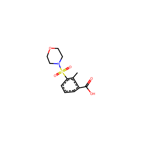 Cc1c(C(=O)O)cccc1S(=O)(=O)N1CCOCC1